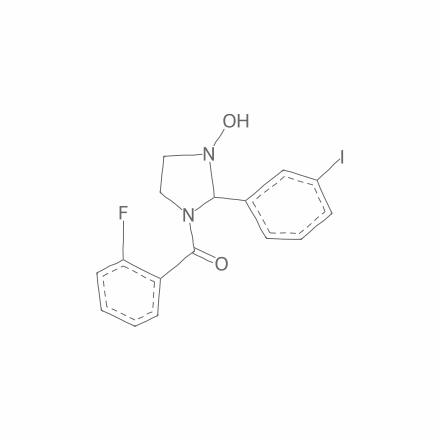 O=C(c1ccccc1F)N1CCN(O)C1c1cccc(I)c1